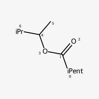 CCCC(C)C(=O)OC(C)C(C)C